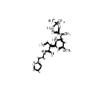 CC1=N/C(=C(/C=N)C(=O)NCCC2CCCO2)NC(N(C)C(=O)OC(C)(C)C)=C1